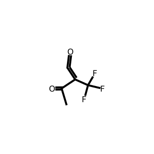 CC(=O)C(=C=O)C(F)(F)F